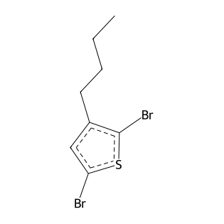 CCCCc1cc(Br)sc1Br